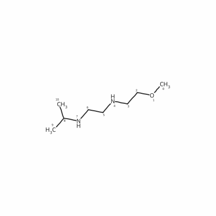 COCCNCCNC(C)C